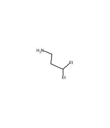 [CH2]CC(C[CH2])CCN